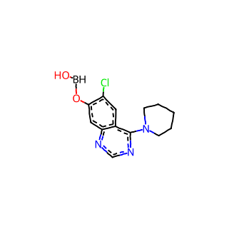 OBOc1cc2ncnc(N3CCCCC3)c2cc1Cl